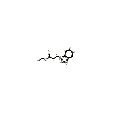 CCOC(=O)CCn1nnc2ccccc21